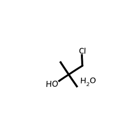 CC(C)(O)CCl.O